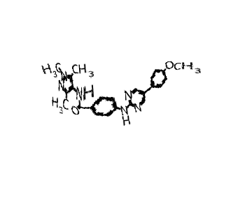 COc1ccc(-c2cnc(Nc3ccc(C(=O)Nc4c(C)nn(C)c4C)cc3)nc2)cc1